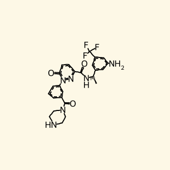 C[C@@H](NC(=O)c1ccc(=O)n(-c2cccc(C(=O)N3CCNCC3)c2)n1)c1cc(N)cc(C(F)(F)F)c1